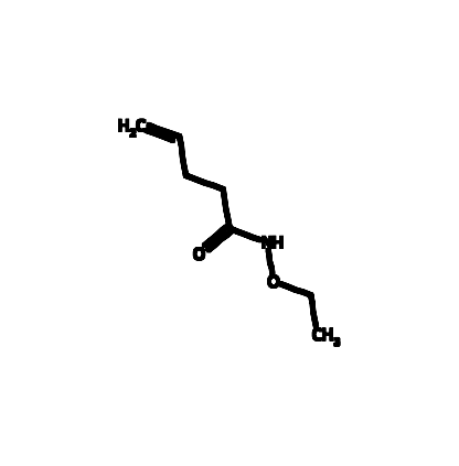 C=CCCC(=O)NOCC